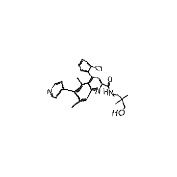 Cc1cc2nc(C(=O)NCC(C)(C)CO)cc(-c3ccccc3Cl)c2c(C)c1-c1ccncc1